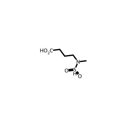 CN(CCCC(=O)O)[SH](=O)=O